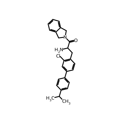 CC(C)c1ccc(-c2ccc(CC(N)C(=O)N3Cc4ccccc4C3)c(Cl)c2)cc1